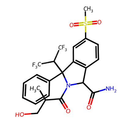 CC(CO)C(=O)N1C(C(N)=O)c2ccc(S(C)(=O)=O)cc2C1(c1ccccc1)C(C(F)(F)F)C(F)(F)F